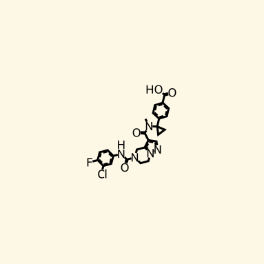 CN(C(=O)c1cnn2c1CN(C(=O)Nc1ccc(F)c(Cl)c1)CC2)C1(c2ccc(C(=O)O)cc2)CC1